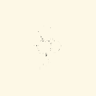 CCO.CCc1ccc(CC)cc1